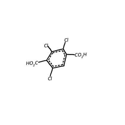 O=C(O)c1cc(Cl)c(C(=O)O)c(Cl)c1Cl